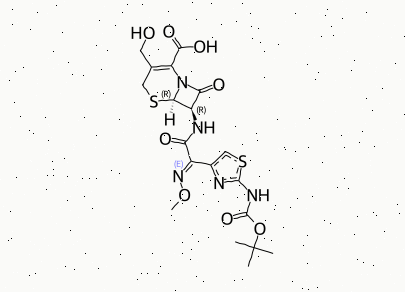 CO/N=C(/C(=O)N[C@@H]1C(=O)N2C(C(=O)O)=C(CO)CS[C@H]12)c1csc(NC(=O)OC(C)(C)C)n1